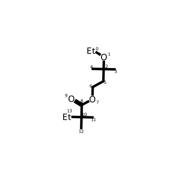 CCOC(C)(C)CCOC(=O)C(C)(C)CC